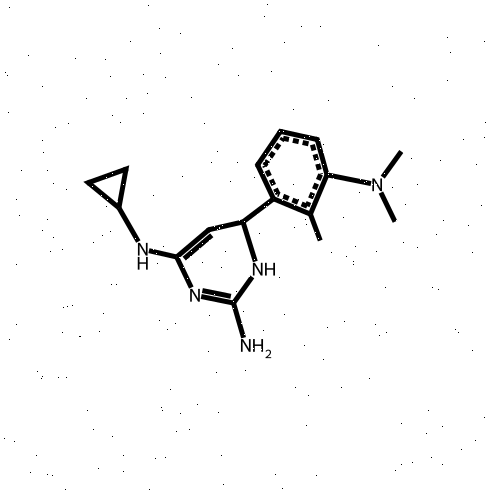 Cc1c(C2C=C(NC3CC3)N=C(N)N2)cccc1N(C)C